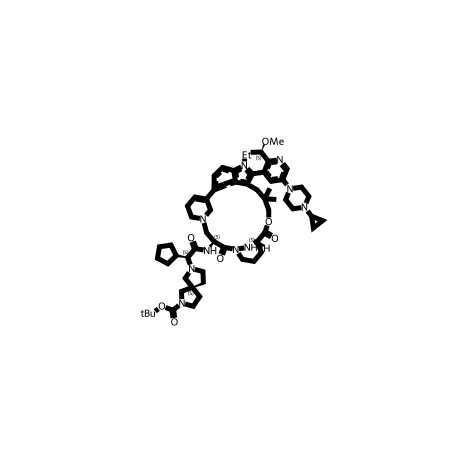 CCn1c(-c2cc(N3CCN(C4CC4)CC3)cnc2[C@H](C)OC)c2c3cc(ccc31)C1=CCCN(C1)C[C@H](NC(=O)[C@H](C1CCCC1)N1CC[C@]3(CCN(C(=O)OC(C)(C)C)C3)C1)C(=O)N1CCC[C@H](N1)C(=O)OCC(C)(C)C2